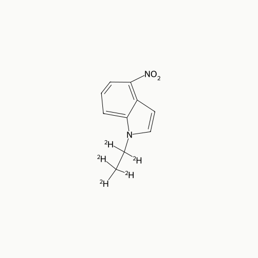 [2H]C([2H])([2H])C([2H])([2H])n1ccc2c([N+](=O)[O-])cccc21